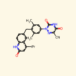 Cc1cc(-n2nc(C#N)c(=O)[nH]c2=O)cc(C)c1Cc1ccc2[nH]c(=O)cc(C(C)C)c2c1